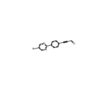 O=CC#Cc1ccc(-c2ncc(Br)cn2)cc1